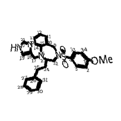 COc1ccc(S(=O)(=O)N2Cc3ccccc3N(Cc3c[nH]cn3)C(CCc3ccccc3)C2)cc1